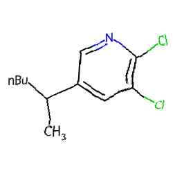 CCCCC(C)c1cnc(Cl)c(Cl)c1